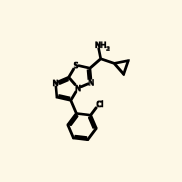 NC(c1nn2c(-c3ccccc3Cl)cnc2s1)C1CC1